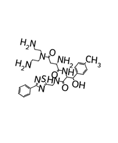 Cc1ccc([C@@H](O)[C@H](NC(=O)[C@@H](N)CC(=O)N(CCN)CCN)C(=O)NCc2nc(-c3ccccc3)ns2)cc1